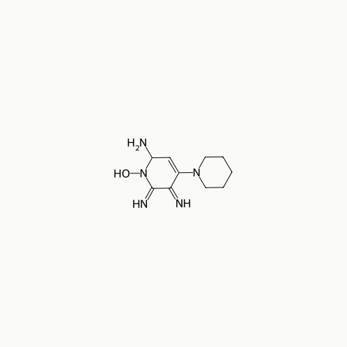 N=C1C(=N)N(O)C(N)C=C1N1CCCCC1